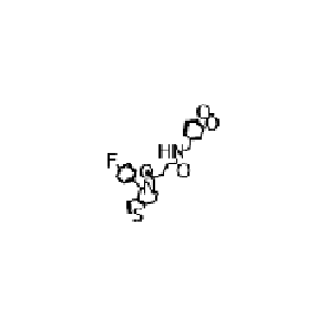 O=C(CCC(=O)N1CCc2sccc2C1c1ccc(F)cc1)NCc1ccc2c(c1)OCO2